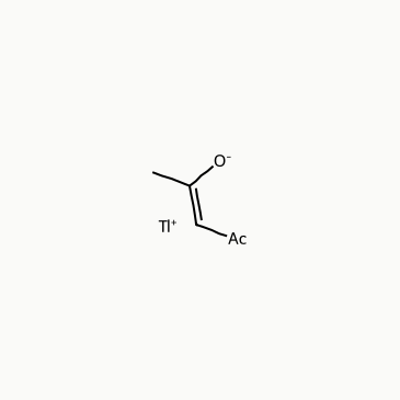 CC(=O)/C=C(/C)[O-].[Tl+]